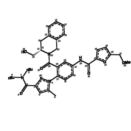 CCCCN(CCCC)C(=O)c1cc(C)n(-c2ccc(NC(=O)c3ccc(COC)o3)cc2C(=O)N2Cc3ccccc3C[C@H]2CO)n1